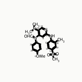 COc1ccc(N(C=O)c2cc(Nc3ccc(S(C)(=O)=O)cc3C)ncc2N(C)C)cc1